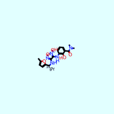 Cc1ccc([C@H](Nc2no[n+](O)c2Nc2cccc(C(=O)N(C)C)c2O)C(C)C)o1